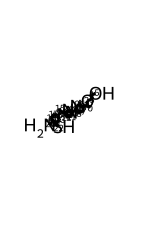 CC(OCCO)c1ccc(-n2ccc(C(C)c3ccc(N)c(S)c3)n2)nc1